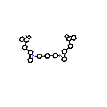 CC12CCC1C=C(c1cccc(-c3ccc4c(c3)c3ccccc3n4-c3ccc(-c4ccc(-c5ccc(-n6c7ccccc7c7cc(-c8cccc(-c9cc%10c(c%11ccccc9%11)CC%10)c8)ccc76)cc5)cc4)cc3)c1)c1ccccc12